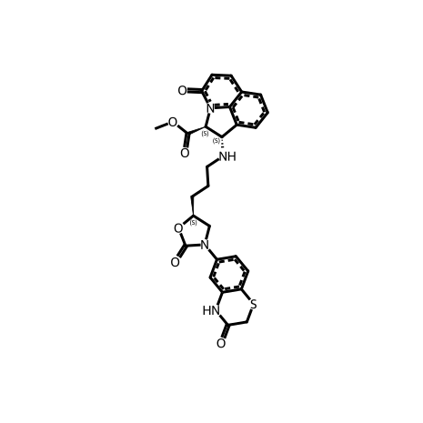 COC(=O)[C@@H]1[C@@H](NCCC[C@H]2CN(c3ccc4c(c3)NC(=O)CS4)C(=O)O2)c2cccc3ccc(=O)n1c23